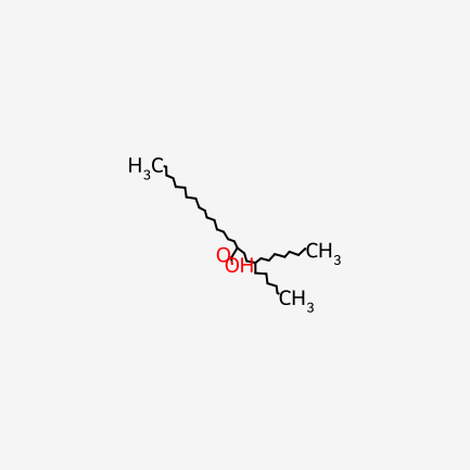 CCCCCCCCCCCCCCCCC(CCC(CCCCCC)CCCCCCCC)C(=O)O